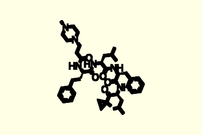 CC(C)C[C@H](NC(=O)[C@H](CCc1ccccc1)NC(=O)CCN1CCN(C)CC1)C(=O)N[C@@H](Cc1ccccc1)C(=O)N[C@@H](CC(C)C)C(=O)C1(C)CC1